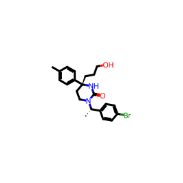 Cc1ccc([C@@]2(CCCO)CCN([C@@H](C)c3ccc(Br)cc3)C(=O)N2)cc1